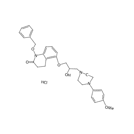 COc1ccc(N2CCN(CC(O)COc3cccc4c3CCC(=O)N4OCc3ccccc3)CC2)cc1.Cl